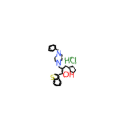 Cl.OC(c1csc2ccccc12)C(CC1CCCC1)CN1CCN(Cc2ccccc2)CC1